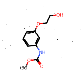 CC(C)(C)OC(=O)Nc1cccc(OCCO)c1